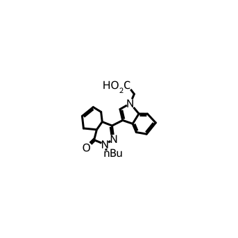 CCCCN1N=C(c2cn(CC(=O)O)c3ccccc23)C2CC=CCC2C1=O